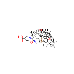 COc1c(C(C)(C)C)cc(SC2(Sc3cc(C(C)(C)C)c(O)c(C(C)(C)C)c3)CCN(C(=O)CN3CCC(C(=O)O)CC3)CC2)cc1C(C)(C)C